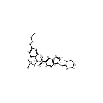 CCCCc1ccc(N(CC(C)C)S(=O)(=O)c2ccc3c(cnn3CC3CCOCC3)c2)cc1